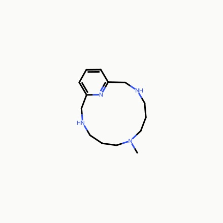 CN1CCCNCc2cccc(n2)CNCCC1